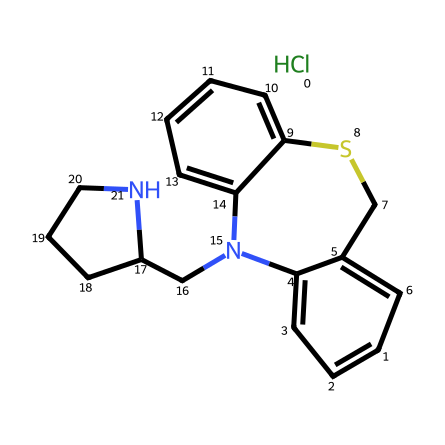 Cl.c1ccc2c(c1)CSc1ccccc1N2CC1CCCN1